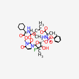 COC(=O)N[C@H](C(=O)OCn1c(=O)ccn([C@@H]2O[C@H](COP(=O)(N[C@@H](C)C(=O)OC(C)C)Oc3ccccc3)[C@@H](O)[C@@]2(C)F)c1=O)C1CCCCC1